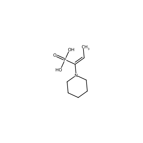 CC=C(N1CCCCC1)P(=O)(O)O